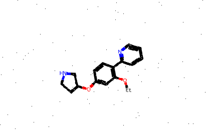 CCOc1cc(OC2CCNC2)ccc1-c1ccc[c]n1